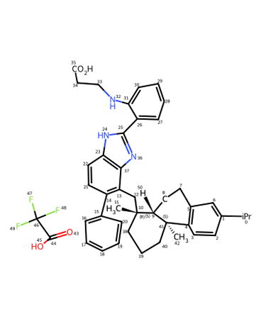 CC(C)c1ccc2c(c1)CC[C@H]1[C@@](C)(Cc3c(-c4ccccc4)ccc4[nH]c(-c5ccccc5NCCC(=O)O)nc34)CCC[C@]21C.O=C(O)C(F)(F)F